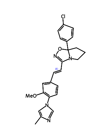 COc1cc(/C=C/C2=NOC3(c4ccc(Cl)cc4)CCCN23)ccc1-n1cnc(C)c1